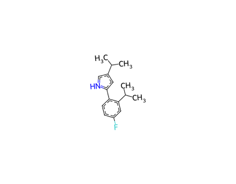 CC(C)c1c[nH]c(-c2ccc(F)cc2C(C)C)c1